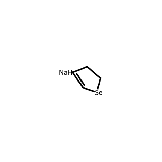 C1=C[Se]CC1.[NaH]